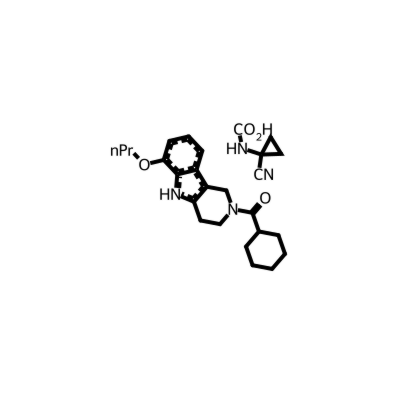 CCCOc1cccc2c3c([nH]c12)CCN(C(=O)C1CCCCC1)C3.N#CC1(NC(=O)O)CC1